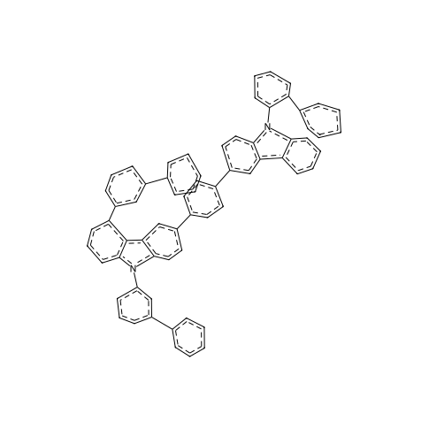 c1ccc(-c2cccc(-c3cccc4c3c3cc(-c5ccc(-c6ccc7c(c6)c6ccccc6n7-c6ccccc6-c6ccccc6)cc5)ccc3n4-c3cccc(-c4ccccc4)c3)c2)cc1